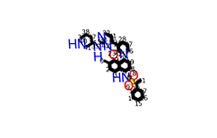 Cc1ccc2c(NS(=O)(=O)C(C)c3ccccc3)cccc2c1Oc1ncccc1-c1ccnc(N[C@H]2CCCNC2)n1